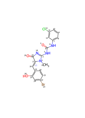 CN1C(NC(=O)Nc2cccc(Cl)c2)=NC(=O)/C1=C/c1ccc(Br)cc1O